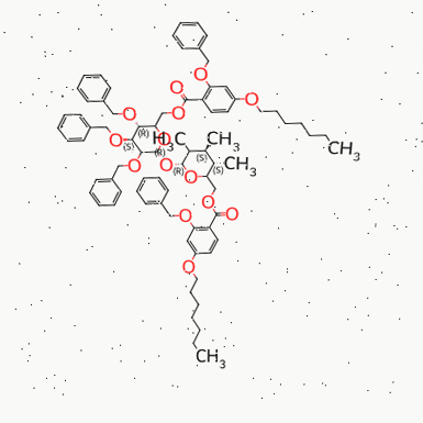 CCCCCCCOc1ccc(C(=O)OCC2O[C@H](O[C@H]3OC(COC(=O)c4ccc(OCCCCCCC)cc4OCc4ccccc4)[C@@H](OCc4ccccc4)[C@H](OCc4ccccc4)C3OCc3ccccc3)C(C)[C@@H](C)[C@@H]2C)c(OCc2ccccc2)c1